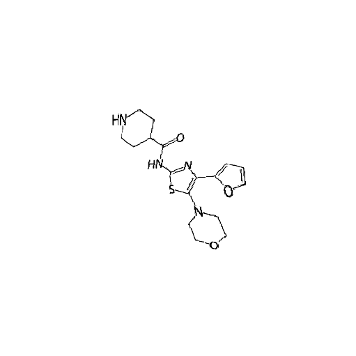 O=C(Nc1nc(-c2ccco2)c(N2CCOCC2)s1)C1CCNCC1